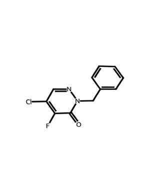 O=c1c(F)c(Cl)cnn1Cc1ccccc1